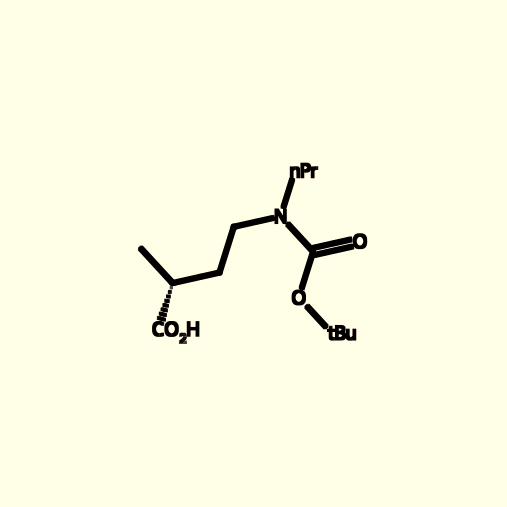 CCCN(CC[C@@H](C)C(=O)O)C(=O)OC(C)(C)C